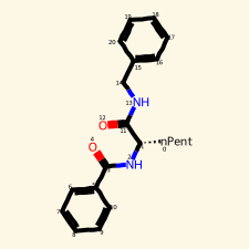 CCCCC[C@H](NC(=O)c1ccccc1)C(=O)NCc1ccccc1